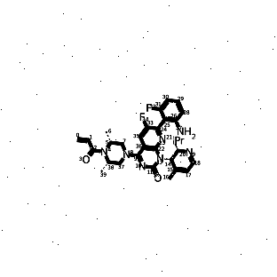 C=CC(=O)N1[C@H](C)CN(c2nc(=O)n([C@H]3C(C)=CC=N[C@H]3C(C)C)c3nc(-c4c(N)cccc4F)c(F)cc23)C[C@@H]1C